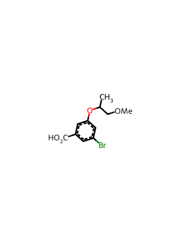 COCC(C)Oc1cc(Br)cc(C(=O)O)c1